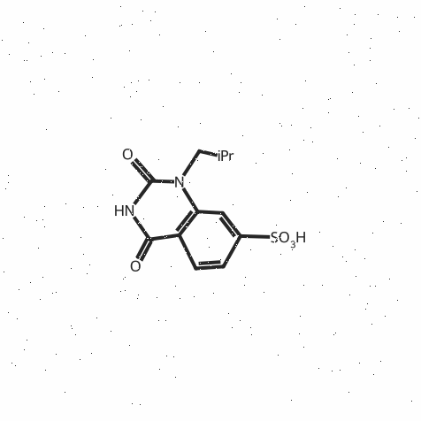 CC(C)Cn1c(=O)[nH]c(=O)c2ccc(S(=O)(=O)O)cc21